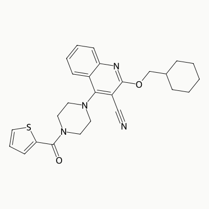 N#Cc1c(OCC2CCCCC2)nc2ccccc2c1N1CCN(C(=O)c2cccs2)CC1